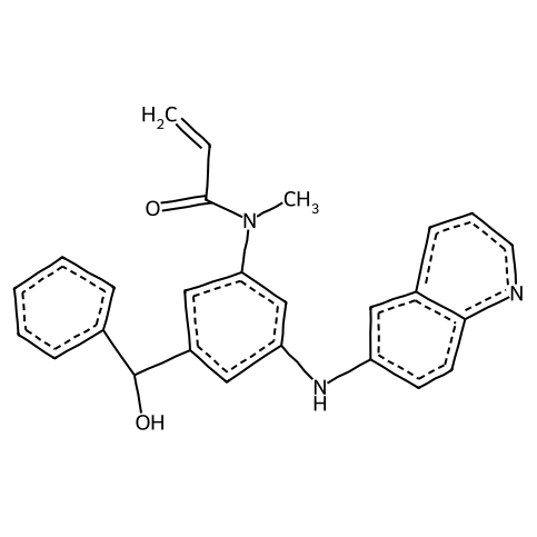 C=CC(=O)N(C)c1cc(Nc2ccc3ncccc3c2)cc(C(O)c2ccccc2)c1